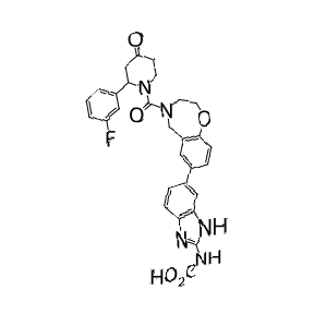 O=C1CCN(C(=O)N2CCOc3ccc(-c4ccc5nc(NC(=O)O)[nH]c5c4)cc3C2)C(c2cccc(F)c2)C1